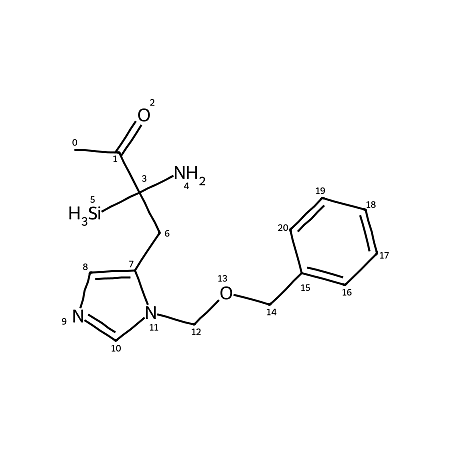 CC(=O)C(N)([SiH3])Cc1cncn1COCc1ccccc1